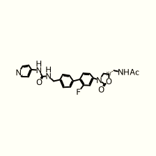 CC(=O)NC[C@H]1CN(c2ccc(-c3ccc(CNC(=O)Nc4ccncc4)cc3)c(F)c2)C(=O)O1